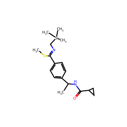 CSC(=NC[Si](C)(C)C)c1ccc(C(C)NC(=O)C2CC2)cc1